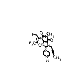 CC#CCN1c2c(n(CCF)c(=O)n(C)c2=O)N(OC(=O)C(F)(F)F)C1N1CCNCC1